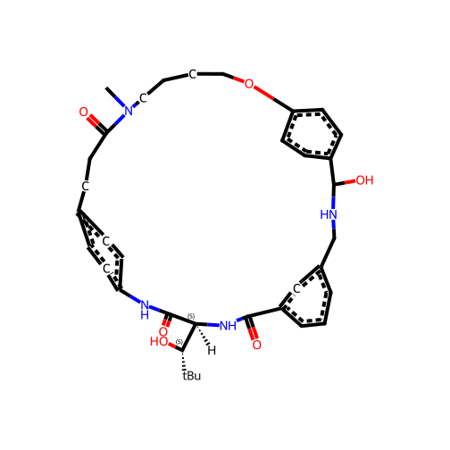 CN1CCCCOc2ccc(cc2)C(O)NCc2cccc(c2)C(=O)N[C@@H]([C@@H](O)C(C)(C)C)C(=O)Nc2ccc(cc2)CCC1=O